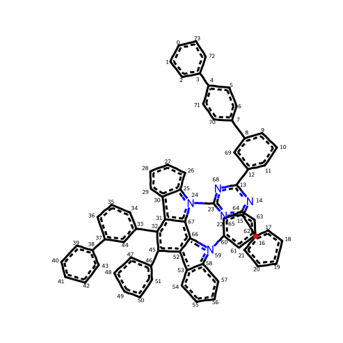 c1ccc(-c2ccc(-c3cccc(-c4nc(-c5ccccc5)nc(-n5c6ccccc6c6c(-c7cccc(-c8ccccc8)c7)c(-c7ccccc7)c7c8ccccc8n(-c8ccccc8)c7c65)n4)c3)cc2)cc1